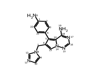 Nc1ccc(-c2c(Cn3ccnc3)cn3ncnc(N)c23)cc1